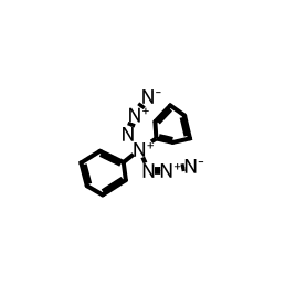 [N-]=[N+]=N[N+](N=[N+]=[N-])(c1ccccc1)c1ccccc1